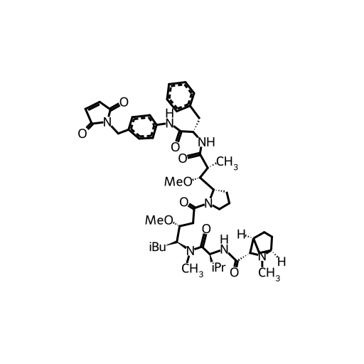 CC[C@H](C)[C@@H]([C@@H](CC(=O)N1CCC[C@H]1[C@H](OC)[C@@H](C)C(=O)N[C@@H](Cc1ccccc1)C(=O)Nc1ccc(CN2C(=O)C=CC2=O)cc1)OC)N(C)C(=O)[C@@H](NC(=O)[C@@H]1[C@H]2CC[C@H](C2)N1C)C(C)C